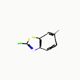 CC(=O)c1ccc2nc(Cl)sc2c1